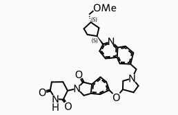 COC[C@H]1CC[C@H](c2ccc3cc(CN4CCC(Oc5ccc6c(c5)CN(C5CCC(=O)NC5=O)C6=O)C4)ccc3n2)C1